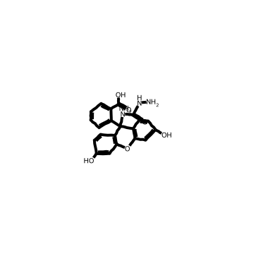 NNC(=O)N(N)C1(c2ccccc2C(=O)O)c2ccc(O)cc2Oc2cc(O)ccc21